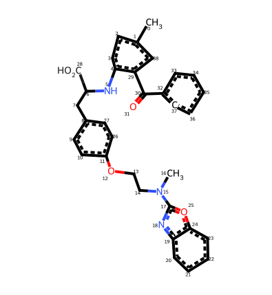 Cc1ccc(NC(Cc2ccc(OCCN(C)c3nc4ccccc4o3)cc2)C(=O)O)c(C(=O)c2ccccc2)c1